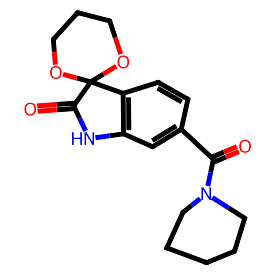 O=C(c1ccc2c(c1)NC(=O)C21OCCCO1)N1CCCCC1